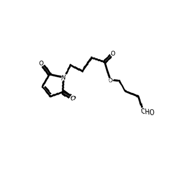 O=CCCCOC(=O)CCCN1C(=O)C=CC1=O